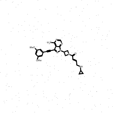 COc1cc(C#Cc2nn(C3CN(C(=O)/C=C/CNC4CC4)C3)c3ncnc(N)c23)cc(OC)c1